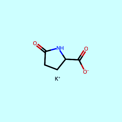 O=C1CCC(C(=O)[O-])N1.[K+]